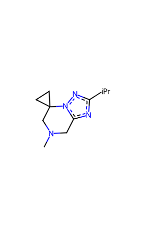 CC(C)c1nc2n(n1)C1(CC1)CN(C)C2